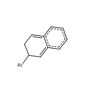 CC(=O)C1C=c2ccccc2=CC1